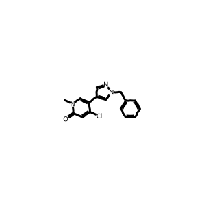 Cn1cc(-c2cnn(Cc3ccccc3)c2)c(Cl)cc1=O